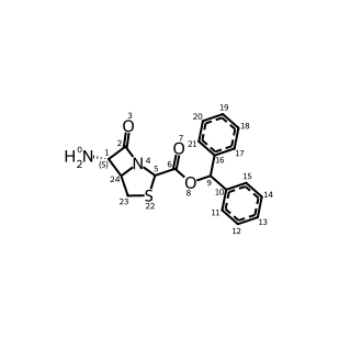 N[C@@H]1C(=O)N2C(C(=O)OC(c3ccccc3)c3ccccc3)SCC12